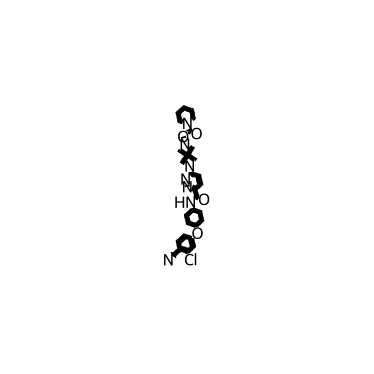 N#Cc1ccc(OC2CCC(NC(=O)c3ccc(N4CC5(CN(OC(=O)N6CCCCC6)C5)C4)nn3)CC2)cc1Cl